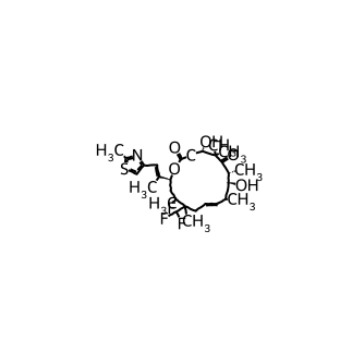 C/C(=C\c1csc(C)n1)[C@@H]1CC(C)C(C)(C(F)(F)F)C/C=C/[C@H](C)[C@H](O)[C@@H](C)C(=O)C(C)(C)[C@@H](O)CC(=O)O1